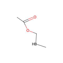 CBCOC(C)=O